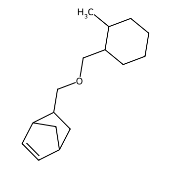 CC1CCCCC1COCC1CC2C=CC1C2